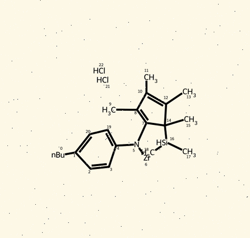 CCCCc1ccc([N]([Zr])C2=C(C)C(C)=C(C)C2(C)[SiH](C)C)cc1.Cl.Cl